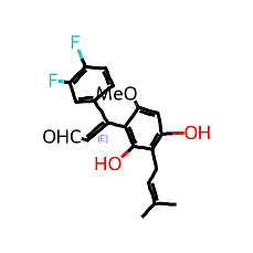 COc1cc(O)c(CC=C(C)C)c(O)c1/C(=C/C=O)c1ccc(F)c(F)c1